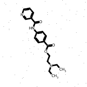 CCN(CC)CCOC(=O)c1ccc(NC(=O)c2cccnc2)cc1